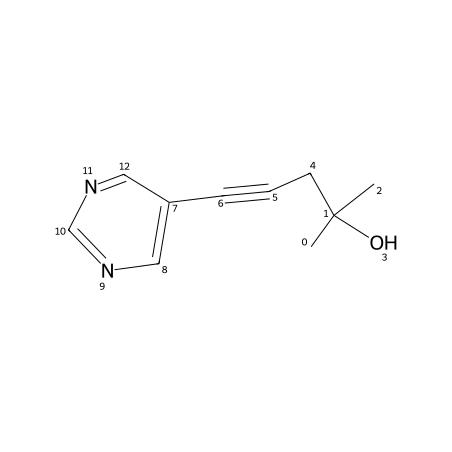 CC(C)(O)CC#Cc1cncnc1